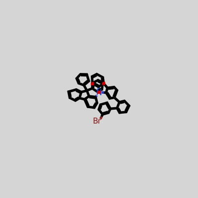 Brc1cccc(-c2ccccc2-c2ccc3c4ccccc4n(-c4cccc5c4C(c4ccccc4)(c4ccccc4)c4ccccc4-5)c3c2)c1